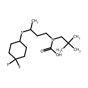 CC(CCN(CC(C)(C)C)C(=O)O)SC1CCC(F)(F)CC1